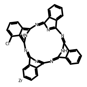 Clc1cccc2c3nc4nc(nc5[nH]c(nc6nc(nc([nH]3)c12)-c1ccccc1-6)c1ccccc51)-c1ccccc1-4.[Zr]